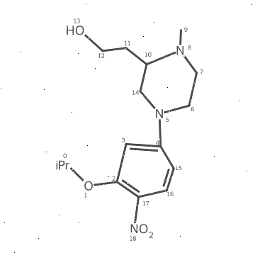 CC(C)Oc1cc(N2CCN(C)C(CCO)C2)ccc1[N+](=O)[O-]